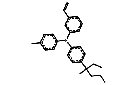 C=Cc1cccc(N(c2ccc(C)cc2)c2ccc(C(C)(CC)CCC)cc2)c1